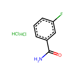 Cl.Cl.NC(=O)c1cccc(F)c1